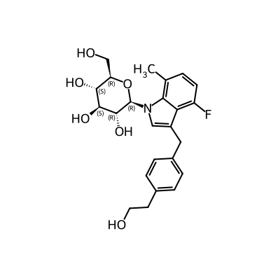 Cc1ccc(F)c2c(Cc3ccc(CCO)cc3)cn([C@@H]3O[C@H](CO)[C@@H](O)[C@H](O)[C@H]3O)c12